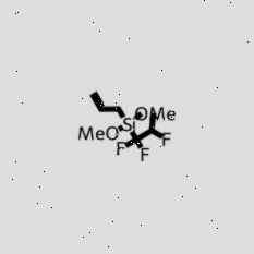 C=CC[Si](OC)(OC)C(F)(F)C(C)F